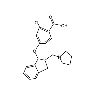 O=C(O)c1ccc(OC2c3ccccc3CC2CN2CCCC2)cc1Cl